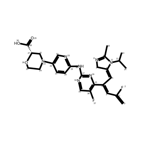 C=C(F)/C=C(\C=C1/CN=C(C)N1C(C)C)c1nc(Nc2ccc(N3CCO[C@H](C(=O)O)C3)cn2)ncc1F